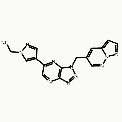 N#CCn1cc(-c2cnc3nnn(Cc4cnn5nccc5c4)c3n2)cn1